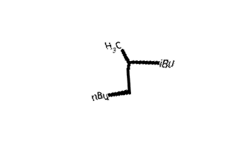 [CH2]C(CC)C(C)CCCCC